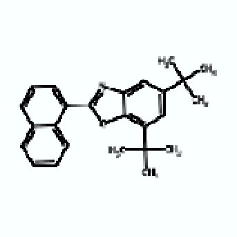 CC(C)(C)c1cc(C(C)(C)C)c2oc(-c3cccc4ccccc34)nc2c1